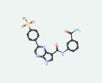 CC(C)S(=O)(=O)c1ccc(-c2cnc3[nH]cc(C(=O)Nc4cccc(C(N)=O)c4)c3n2)cc1